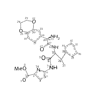 COC(=O)c1csc(NC(=O)C(NC(=O)[C@H](N)c2ccc3c(c2)OCCO3)C(C)c2ccccc2)n1